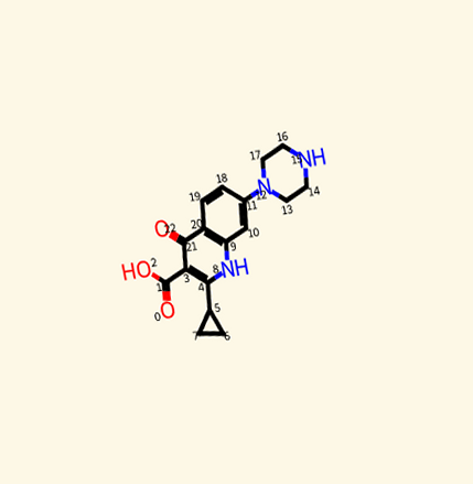 O=C(O)c1c(C2CC2)[nH]c2cc(N3CCNCC3)ccc2c1=O